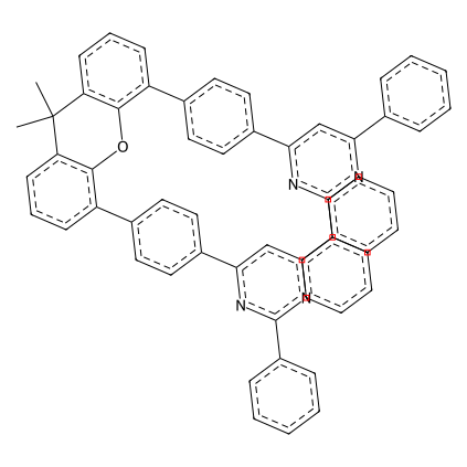 CC1(C)c2cccc(-c3ccc(-c4cc(-c5ccccc5)nc(-c5ccccc5)n4)cc3)c2Oc2c(-c3ccc(-c4cc(-c5ccccc5)nc(-c5ccccc5)n4)cc3)cccc21